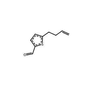 C=CCCc1ccc(C=O)s1